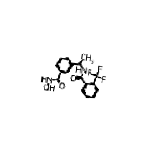 CC(NC(=O)c1ccccc1C(F)(F)F)c1cccc(C(=O)NO)c1